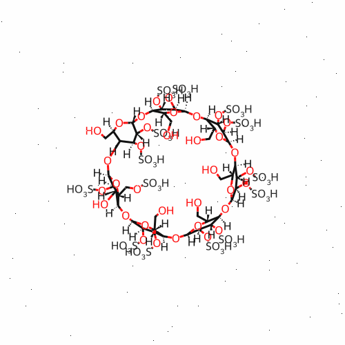 O=S(=O)(O)OC[C@H]1O[C@@H]2O[C@H]3[C@H](OS(=O)(=O)O)[C@@H](OS(=O)(=O)O)[C@@H](O[C@H]4[C@H](OS(=O)(=O)O)[C@@H](OS(=O)(=O)O)[C@@H](O[C@H]5[C@H](OS(=O)(=O)O)[C@@H](OS(=O)(=O)O)[C@@H](O[C@H]6[C@H](OS(=O)(=O)O)[C@@H](OS(=O)(=O)O)[C@@H](O[C@H]7[C@H](OS(=O)(=O)O)[C@@H](OS(=O)(=O)O)[C@@H](O[C@H]8[C@H](OS(=O)(=O)O)[C@@H](OS(=O)(=O)O)[C@@H](O[C@H]1[C@H](O)[C@H]2OS(=O)(=O)O)O[C@@H]8CO)O[C@@H]7CO)O[C@@H]6CO)O[C@@H]5CO)O[C@@H]4CO)O[C@@H]3CO